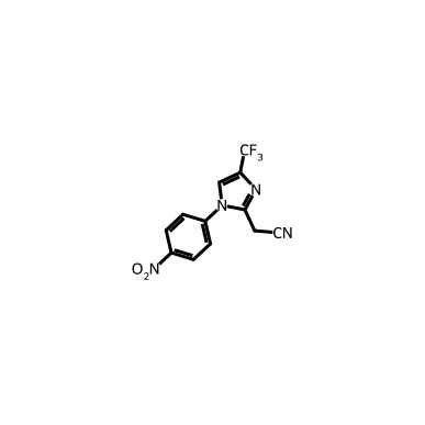 N#CCc1nc(C(F)(F)F)cn1-c1ccc([N+](=O)[O-])cc1